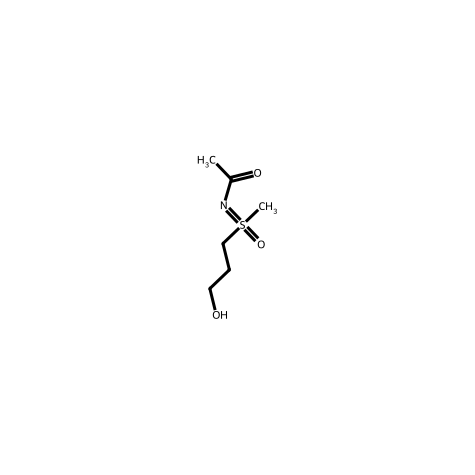 CC(=O)N=S(C)(=O)CCCO